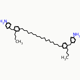 CCCCc1cc(CCCCCCCCCCCCCCCCCCc2ccc(Cc3ccc(N)cc3)c(CCCC)c2)ccc1Cc1ccc(N)cc1